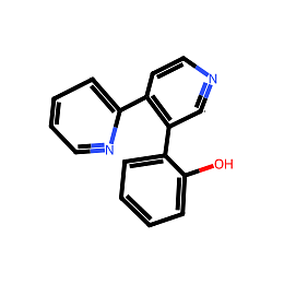 Oc1ccccc1-c1[c]nccc1-c1ccccn1